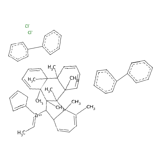 C/[CH]=[Zr+2](\[C]1=CC=CC1)[CH]1C2C=CC=C(C)C2(C)C2(C)C3(C)C=CC=CC3(C)C3(C)C=CC=CC3(C)C12C.[Cl-].[Cl-].c1ccc(-c2ccccc2)cc1.c1ccc(-c2ccccc2)cc1